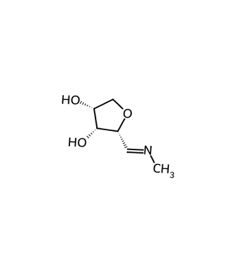 CN=C[C@H]1OC[C@@H](O)[C@H]1O